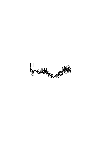 CNC(=O)CCOCc1cn(C(C)(C)COC(C)(C)CCOc2ccc(-c3nnc(S(C)(=O)=O)o3)cc2)nn1